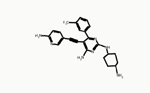 Nc1ccc(C#Cc2c(N)nc(NC3CCC(N)CC3)nc2-c2cccc(C(F)(F)F)c2)cn1